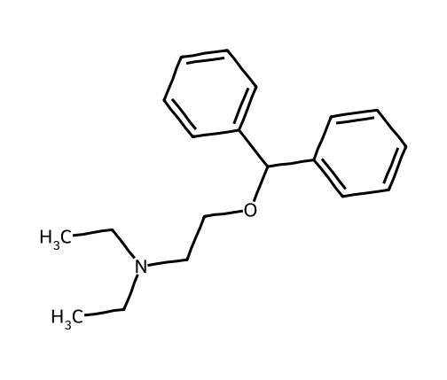 CCN(CC)CCOC(c1ccccc1)c1ccccc1